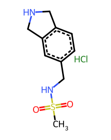 CS(=O)(=O)NCc1ccc2c(c1)CNC2.Cl